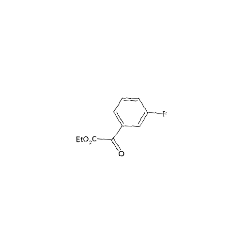 CCOC(=O)C(=O)c1cccc(F)c1